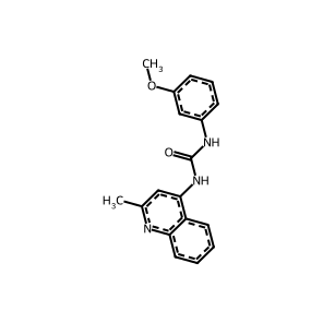 COc1cccc(NC(=O)Nc2cc(C)nc3ccccc23)c1